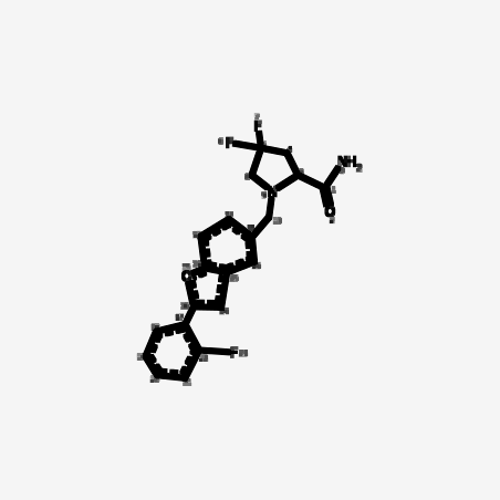 NC(=O)C1CC(F)(F)CN1Cc1ccc2oc(-c3ccccc3F)cc2c1